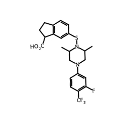 CC1CN(c2ccc(C(F)(F)F)c(F)c2)CC(C)N1Sc1ccc2c(c1)C(C(=O)O)CC2